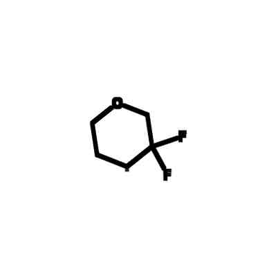 FC1(F)[CH]CCOC1